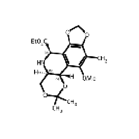 CCOC(=O)[C@@H]1N[C@@H]2COC(C)(C)O[C@H]2c2c(OC)c(C)c3c(c21)OCO3